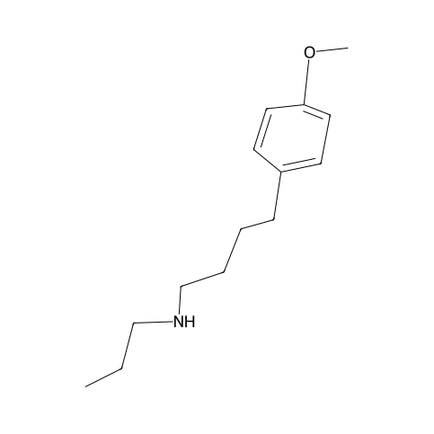 CCCNCCCCc1ccc(OC)cc1